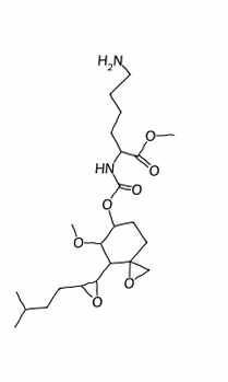 COC(=O)C(CCCCN)NC(=O)OC1CCC2(CO2)C(C2OC2CCC(C)C)C1OC